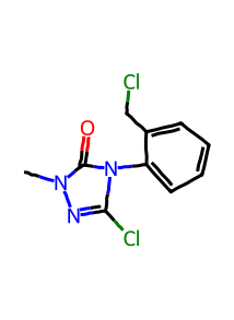 Cn1nc(Cl)n(-c2ccccc2CCl)c1=O